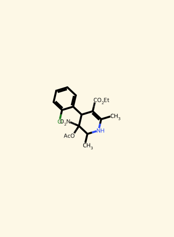 CCOC(=O)C1=C(C)NC(C)C(OC(C)=O)([N+](=O)[O-])C1c1ccccc1Cl